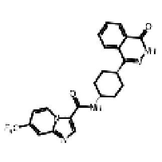 O=C(N[C@H]1CC[C@H](c2n[nH]c(=O)c3ccccc32)CC1)c1cnc2cc(C(F)(F)F)ccn12